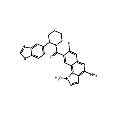 Cn1ncc2c(N)nc3cc(F)c(C(=O)N4CCCCC4c4ccc5scnc5c4)cc3c21